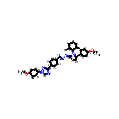 Cc1cccc(C)c1-n1c(-c2ccc(OC(F)(F)F)cc2)cs/c1=N\N=C\c1ccc(-c2ncn(-c3ccc(OC(F)(F)F)cc3)n2)cc1